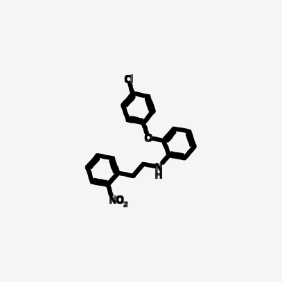 O=[N+]([O-])c1ccccc1CCNc1ccccc1Oc1ccc(Cl)cc1